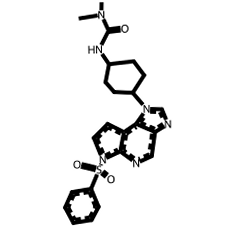 CN(C)C(=O)NC1CCC(n2cnc3cnc4c(ccn4S(=O)(=O)c4ccccc4)c32)CC1